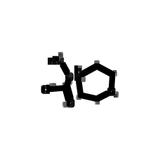 C1COCCN1.CCCCOC(=O)Cl